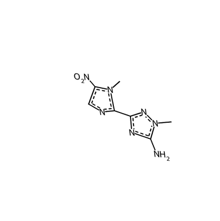 Cn1nc(-c2ncc([N+](=O)[O-])n2C)nc1N